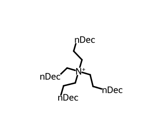 CCCCCCCCCCCC[N+](CCCCCCCCCCC)(CCCCCCCCCCCC)CCCCCCCCCCCC